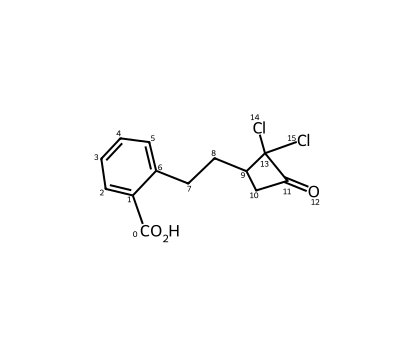 O=C(O)c1ccccc1CCC1CC(=O)C1(Cl)Cl